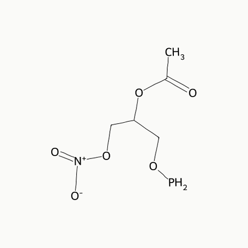 CC(=O)OC(COP)CO[N+](=O)[O-]